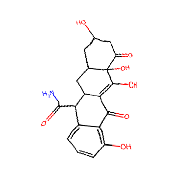 NC(=O)C1c2cccc(O)c2C(=O)C2=C(O)C3(O)C(=O)CC(O)CC3CC21